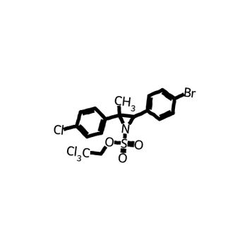 CC1(c2ccc(Cl)cc2)C(c2ccc(Br)cc2)N1S(=O)(=O)OCC(Cl)(Cl)Cl